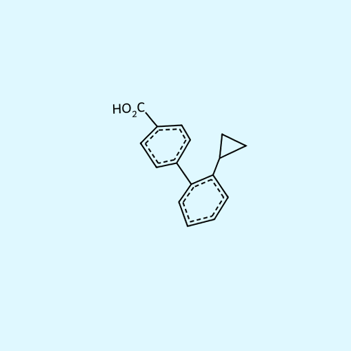 O=C(O)c1ccc(-c2ccccc2C2CC2)cc1